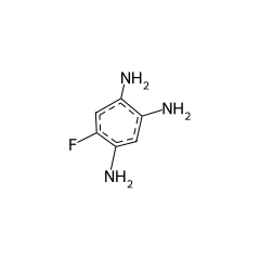 Nc1cc(N)c(F)cc1N